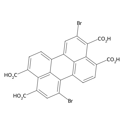 O=C(O)c1ccc2c3c(Br)cc(C(=O)O)c4c(C(=O)O)ccc(c5cc(Br)c(C(=O)O)c1c52)c43